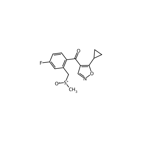 C[S+]([O-])Cc1cc(F)ccc1C(=O)c1cnoc1C1CC1